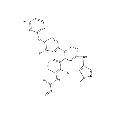 C=CC(=O)Nc1cccc(-c2nc(Nc3cnn(C)c3)ncc2-c2ccc(Oc3nccc(C)n3)c(F)c2)c1OC